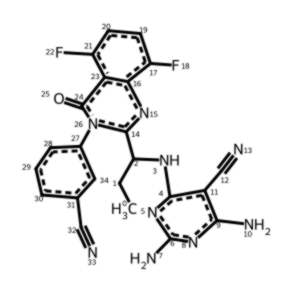 CCC(Nc1nc(N)nc(N)c1C#N)c1nc2c(F)ccc(F)c2c(=O)n1-c1cccc(C#N)c1